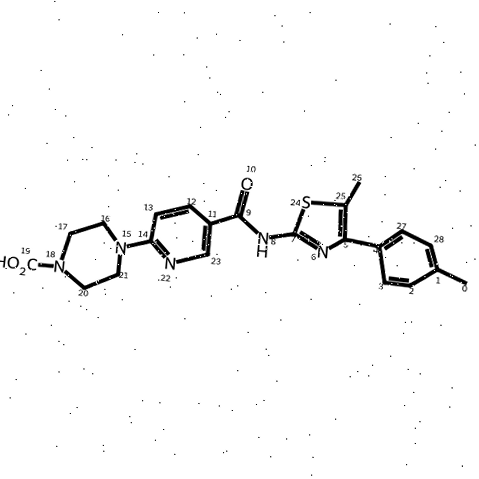 Cc1ccc(-c2nc(NC(=O)c3ccc(N4CCN(C(=O)O)CC4)nc3)sc2C)cc1